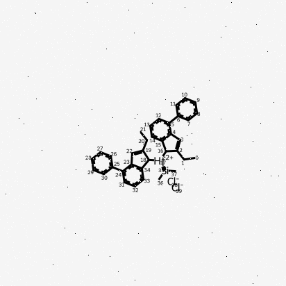 CCC1=Cc2c(-c3ccccc3)cccc2[CH]1[Hf+2]([CH]1C(CC)=Cc2c(-c3ccccc3)cccc21)=[Si](C)C.[Cl-].[Cl-]